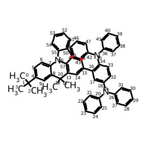 CC(C)(C)c1ccc2c(c1)C(C)(C)c1cc(-c3cc(N(c4ccccc4)c4ccccc4)ccc3N(c3ccccc3)c3ccccc3)cc3c4ccccc4n-2c13